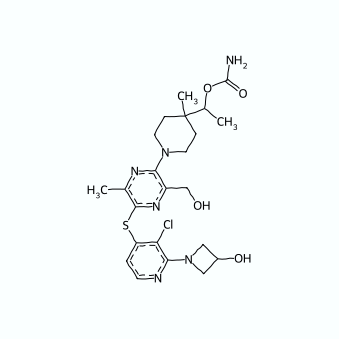 Cc1nc(N2CCC(C)(C(C)OC(N)=O)CC2)c(CO)nc1Sc1ccnc(N2CC(O)C2)c1Cl